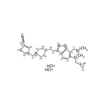 CN(C)Cc1c(OCC2CC2)ccc2c(CCC3CCN(Cc4csc(C#N)c4)CC3)noc12.Cl.Cl